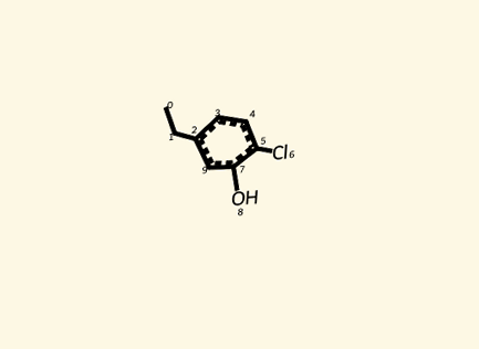 CCc1ccc(Cl)c(O)c1